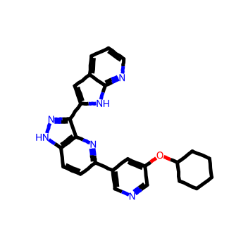 c1cnc2[nH]c(-c3n[nH]c4ccc(-c5cncc(OC6CCCCC6)c5)nc34)cc2c1